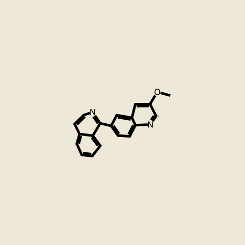 COc1[c]nc2ccc(-c3nccc4ccccc34)cc2c1